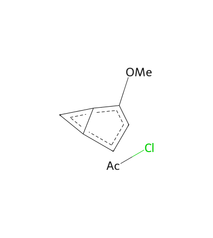 CC(=O)Cl.COc1ccc2cc1-2